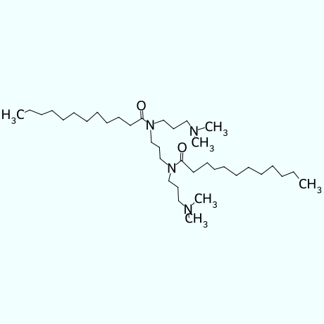 CCCCCCCCCCCC(=O)N(CCCN(C)C)CCCN(CCCN(C)C)C(=O)CCCCCCCCCCC